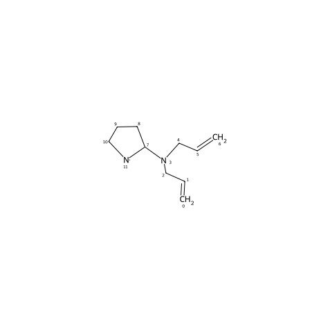 C=CCN(CC=C)C1CCC[N]1